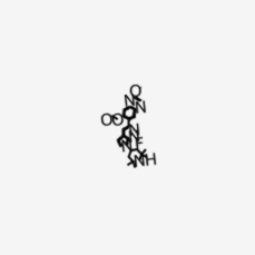 COc1cnc2cc(-c3cc4ccn([C@H]5CC(C)(C)NC(C)(C)[C@H]5F)c4nn3)c(OC=O)cc2n1